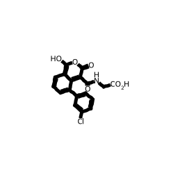 O=C(O)CNC(=O)c1c(=O)oc(O)c2cccc(-c3cccc(Cl)c3)c12